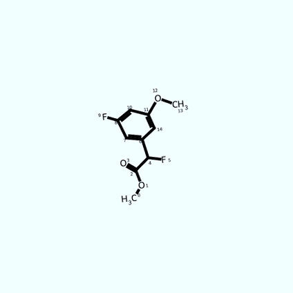 COC(=O)C(F)c1cc(F)cc(OC)c1